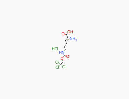 Cl.N[C@@H](CCCCNC(=O)OCC(Cl)(Cl)Cl)C(=O)O